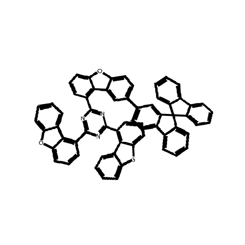 c1ccc2c(c1)-c1ccccc1C21c2ccccc2-c2ccc(-c3ccc4oc5cccc(-c6nc(-c7cccc8oc9ccccc9c78)nc(-c7cccc8sc9ccccc9c78)n6)c5c4c3)cc21